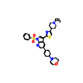 CN1CCC(c2csc(-c3cn(S(=O)(=O)c4ccccc4)c4ncc(C5=CCC(N6CCOCC6)CC5)cc34)n2)CC1